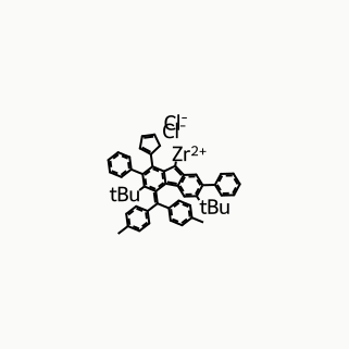 Cc1ccc(C(c2ccc(C)cc2)=c2c(C(C)(C)C)c(-c3ccccc3)c(C3=CC=CC3)c3c2=c2cc(C(C)(C)C)c(-c4ccccc4)cc2=[C]3[Zr+2])cc1.[Cl-].[Cl-]